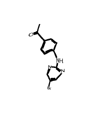 CC(=O)c1ccc(Nc2ncc(Br)cn2)cc1